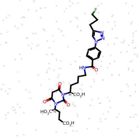 O=C(O)CC[C@@H](C(=O)O)N1C(=O)CC(=O)N([C@@H](CCCCNC(=O)c2ccc(-n3cc(CCCF)nn3)cc2)C(=O)O)C1=O